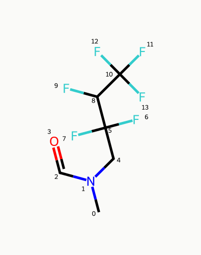 CN(C=O)CC(F)(F)C(F)C(F)(F)F